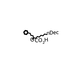 CCCCCCCCCCCCCCCCC(C(=O)O)C(=O)CCCc1ccccc1